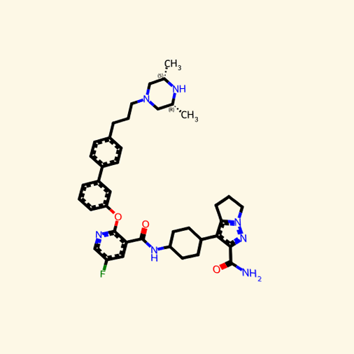 C[C@@H]1CN(CCCc2ccc(-c3cccc(Oc4ncc(F)cc4C(=O)NC4CCC(c5c(C(N)=O)nn6c5CCC6)CC4)c3)cc2)C[C@H](C)N1